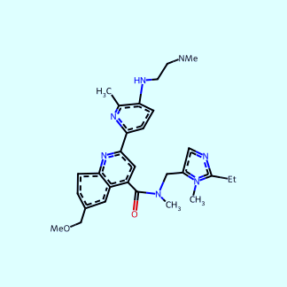 CCc1ncc(CN(C)C(=O)c2cc(-c3ccc(NCCNC)c(C)n3)nc3ccc(COC)cc23)n1C